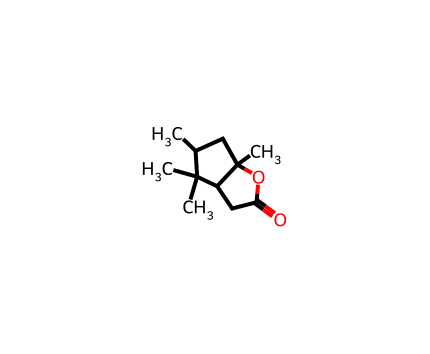 CC1CC2(C)OC(=O)CC2C1(C)C